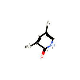 CCc1c[nH]c(=O)c(C(C)(C)C)c1